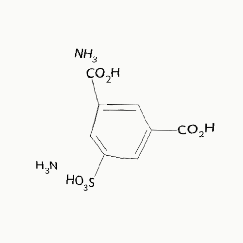 N.N.O=C(O)c1cc(C(=O)O)cc(S(=O)(=O)O)c1